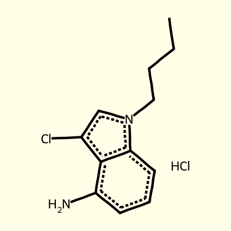 CCCCn1cc(Cl)c2c(N)cccc21.Cl